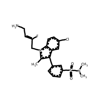 Cc1c(-c2cccc(S(=O)(=O)N(C)C)c2)c2cc(Cl)ccc2n1CC(F)=CCN